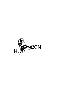 CCOC1CCN(c2cc(C)nc3cc(COc4ccc(C#N)cc4)ccc23)C1